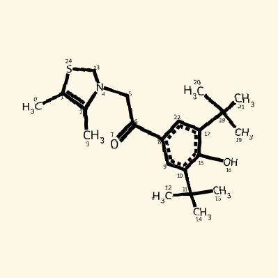 CC1=C(C)N(CC(=O)c2cc(C(C)(C)C)c(O)c(C(C)(C)C)c2)CS1